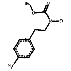 CCN(CCc1ccc(C)cc1)C(=O)OC(C)(C)C